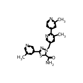 Cc1cncc(C2=NN(Cc3cnc(-c4ccnc(C)c4)c(C)c3)C(C(N)=O)S2)c1